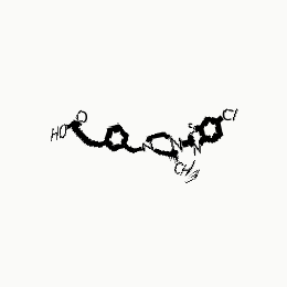 C[C@@H]1CN(Cc2cccc(CC(=O)O)c2)CCN1c1nc2ccc(Cl)cc2s1